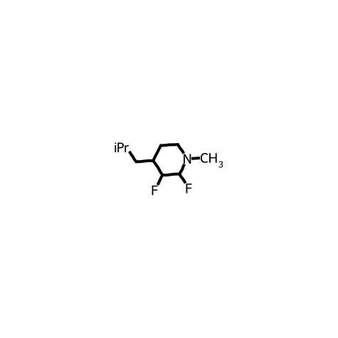 CC(C)CC1CCN(C)C(F)C1F